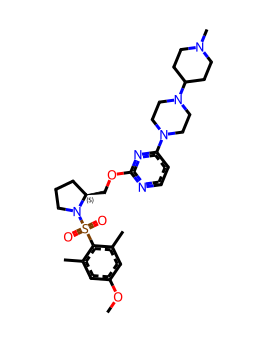 COc1cc(C)c(S(=O)(=O)N2CCC[C@H]2COc2nccc(N3CCN(C4CCN(C)CC4)CC3)n2)c(C)c1